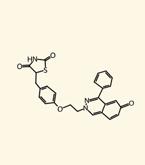 O=C1NC(=O)C(Cc2ccc(OCCn3cc4ccc(=O)cc-4c(-c4ccccc4)n3)cc2)S1